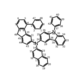 c1ccc(-c2cccc3c2-c2cc(N(c4ccc5ccccc5c4)c4ccc5c(c4)c4ccccc4n5-c4ccccc4)ccc2C3)cc1